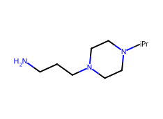 CC(C)N1CCN(CCCN)CC1